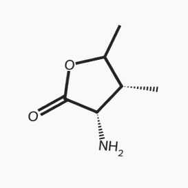 CC1OC(=O)[C@@H](N)[C@H]1C